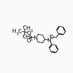 CC(C)(C)OC(=O)N1CCC(N(OCc2ccccc2)c2ccccc2)CC1